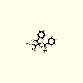 O=C(OC(C(=O)O)(C(=O)c1ccccc1)C(O)C(=O)O)c1ccccc1.[HH]